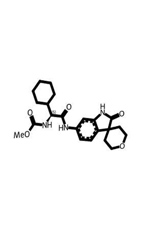 COC(=O)N[C@H](C(=O)Nc1ccc2c(c1)NC(=O)C21CCOCC1)C1CCCCC1